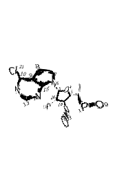 O=PC[C@H]1O[C@@H](n2ccc3c(Cl)ncnc32)[C@@H](F)[C@@H]1P=O